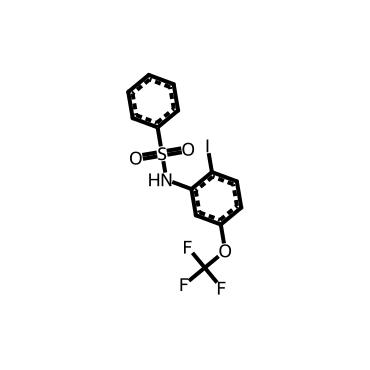 O=S(=O)(Nc1cc(OC(F)(F)F)ccc1I)c1ccccc1